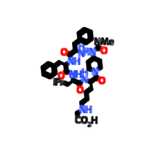 CNC(=O)NC1CCN(C(=O)[C@@H](CCCCNCC(=O)O)NC(=O)[C@@H](CC(C)C)NC(=O)[C@@H](Cc2ccccc2)NC(=O)[C@H](N)Cc2ccccc2)CC1